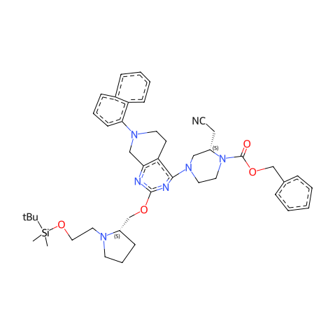 CC(C)(C)[Si](C)(C)OCCN1CCC[C@H]1COc1nc2c(c(N3CCN(C(=O)OCc4ccccc4)[C@@H](CC#N)C3)n1)CCN(c1cccc3ccccc13)C2